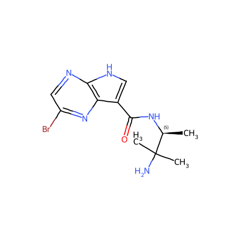 C[C@H](NC(=O)c1c[nH]c2ncc(Br)nc12)C(C)(C)N